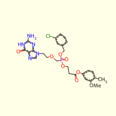 COc1cc(OC(=O)CCOP(=O)(COCCn2cnc3c(=O)[nH]c(N)nc32)OCc2cccc(Cl)c2)ccc1C